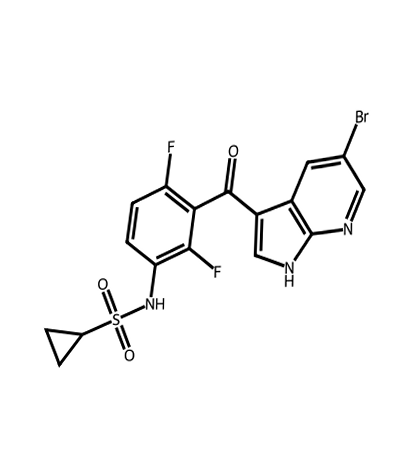 O=C(c1c(F)ccc(NS(=O)(=O)C2CC2)c1F)c1c[nH]c2ncc(Br)cc12